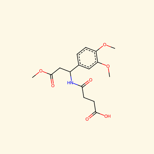 COC(=O)CC(NC(=O)CCC(=O)O)c1ccc(OC)c(OC)c1